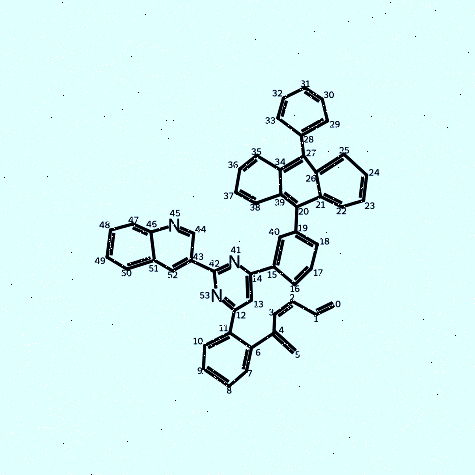 C=C/C=C\C(=C)c1ccccc1-c1cc(-c2cccc(-c3c4ccccc4c(-c4ccccc4)c4ccccc34)c2)nc(-c2cnc3ccccc3c2)n1